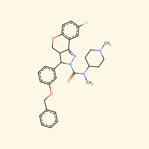 CN1CCC(N(C)C(=O)N2N=C3c4cc(F)ccc4OCC3C2c2cccc(OCc3ccccc3)c2)CC1